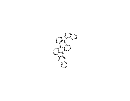 c1cc2c3c(c1)-n1c4c(cccc4c4ccc5ccccc5c41)B3c1cccc3c4cc5ccccc5cc4n-2c13